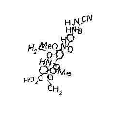 C=CCOc1c(C(=O)O)ccc(NC(=O)c2ccc(NC(=O)c3ccc(NC(=O)C(N)CC#N)cc3)c(OC)c2OCC=C)c1OC